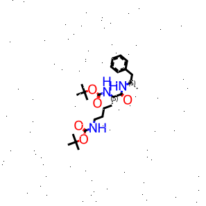 C[C@@H](Cc1ccccc1)NC(=O)[C@H](CCCCNC(=O)OC(C)(C)C)NC(=O)OC(C)(C)C